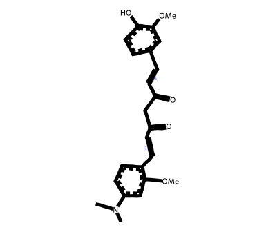 COc1cc(/C=C/C(=O)CC(=O)/C=C/c2ccc(N(C)C)cc2OC)ccc1O